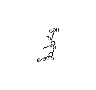 CCCCOc1cc(C(CC=CC(=O)O)OCC)ccc1OCCc1ccc(OCOCCOC)c(OC)c1